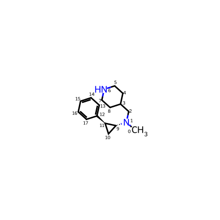 CN(CC1CCNCC1)[C@@H]1C[C@H]1c1ccccc1